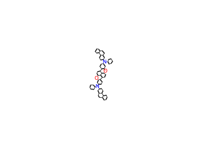 c1ccc(N(c2ccc3c(c2)Oc2ccc4c5c(ccc-3c25)Oc2cc(N(c3ccccc3)c3ccc5c(ccc6ccccc65)c3)ccc2-4)c2ccc3c(ccc4ccccc43)c2)cc1